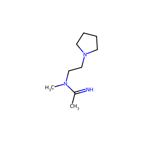 CC(=N)N(C)CCN1CCCC1